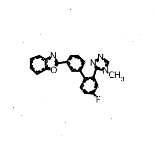 Cn1cnnc1-c1cc(F)ccc1-c1cccc(-c2nc3ccccc3o2)c1